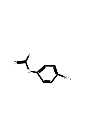 Nc1ccc(OC(=O)I)cc1